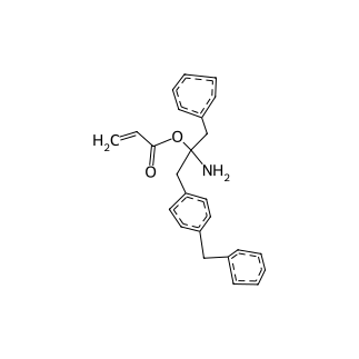 C=CC(=O)OC(N)(Cc1ccccc1)Cc1ccc(Cc2ccccc2)cc1